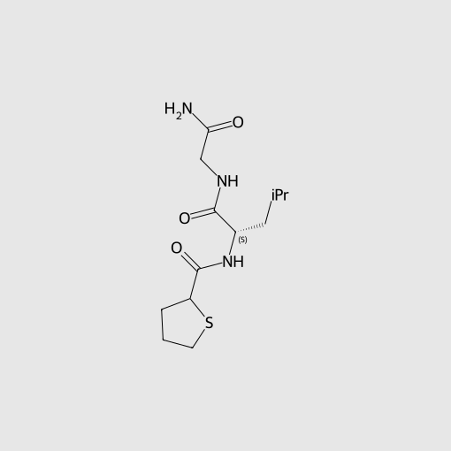 CC(C)C[C@H](NC(=O)C1CCCS1)C(=O)NCC(N)=O